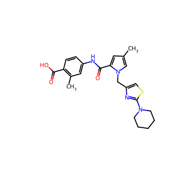 Cc1cc(C(=O)Nc2ccc(C(=O)O)c(C)c2)n(Cc2csc(N3CCCCC3)n2)c1